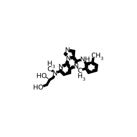 Cc1cccc(C)c1Nc1nc2ccc(N(C)C[C@@H](O)CO)nc2n2cncc12